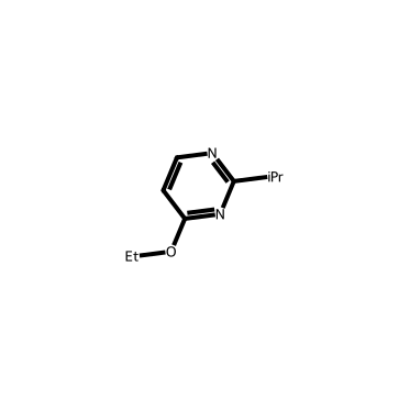 CCOc1ccnc(C(C)C)n1